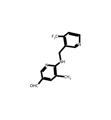 Cc1cc(C=O)cnc1NCc1cnccc1C(F)(F)F